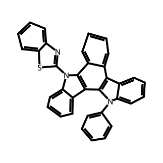 c1ccc(-n2c3ccccc3c3c4ccccc4c4c(c5ccccc5n4-c4nc5ccccc5s4)c32)cc1